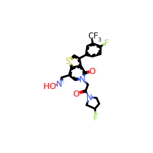 O=C(Cn1cc(/C=N/O)c2scc(-c3ccc(F)c(C(F)(F)F)c3)c2c1=O)N1CCC(F)C1